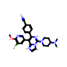 COc1ncc(-c2c(-c3ccc(C#N)cc3)nc(N3CCC(N(C)C)CC3)n3ccnc23)cc1F